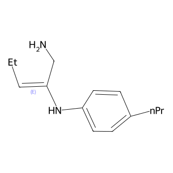 CC/C=C(\CN)Nc1ccc(CCC)cc1